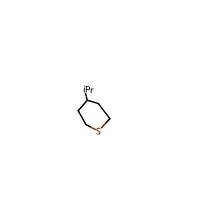 CC(C)C1CCSCC1